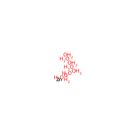 O.O.O.O.O.O.O.O.[Zn]